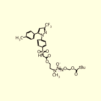 Cc1ccc(-c2cc(C(F)(F)F)nn2-c2ccc(S(=O)(=O)NC(=O)OCCN(C)/[N+]([O-])=N/OCOC(=O)C(C)(C)C)cc2)cc1